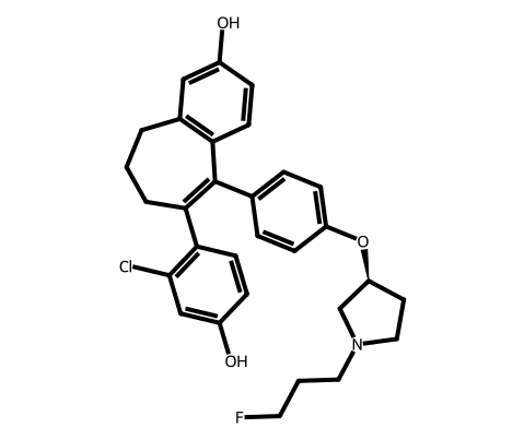 Oc1ccc(C2=C(c3ccc(O[C@H]4CCN(CCCF)C4)cc3)c3ccc(O)cc3CCC2)c(Cl)c1